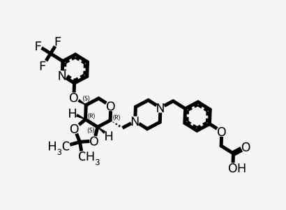 CC1(C)O[C@@H]2[C@H](O1)[C@@H](Oc1cccc(C(F)(F)F)n1)CO[C@@H]2CN1CCN(Cc2ccc(OCC(=O)O)cc2)CC1